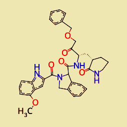 COc1cccc2[nH]c(C(=O)N3Cc4ccccc4C3C(=O)N[C@@H](C[C@@H]3CCCNC3=O)C(=O)COCc3ccccc3)cc12